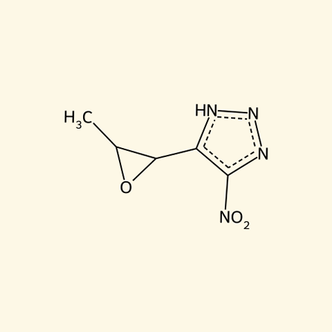 CC1OC1c1[nH]nnc1[N+](=O)[O-]